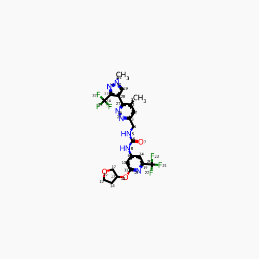 Cc1cc(CNC(=O)Nc2cc(OC3CCOC3)nc(C(F)(F)F)c2)nnc1-c1cn(C)nc1C(F)(F)F